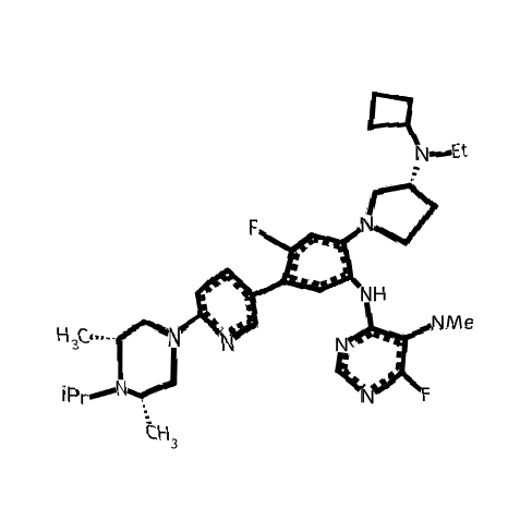 CCN(C1CCC1)[C@@H]1CCN(c2cc(F)c(-c3ccc(N4C[C@@H](C)N(C(C)C)[C@@H](C)C4)nc3)cc2Nc2ncnc(F)c2NC)C1